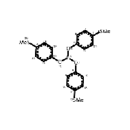 CSc1ccc(OP(Oc2ccc(SC)cc2)Oc2ccc(SC)cc2)cc1